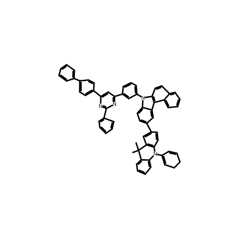 CC1(C)c2ccccc2N(C2=CCCC=C2)c2ccc(-c3ccc4c(c3)c3c5ccccc5ccc3n4-c3cccc(-c4cc(-c5ccc(-c6ccccc6)cc5)nc(-c5ccccc5)n4)c3)cc21